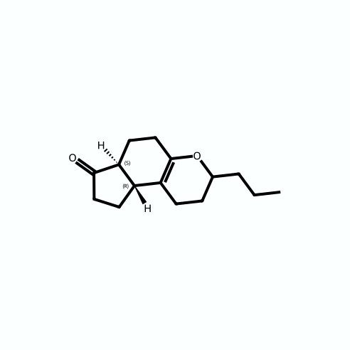 CCCC1CCC2=C(CC[C@@H]3C(=O)CC[C@@H]23)O1